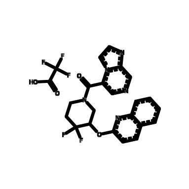 O=C(O)C(F)(F)F.O=C(c1cncc2nccn12)N1CCC(F)(F)C(Oc2ccc3ccccc3n2)C1